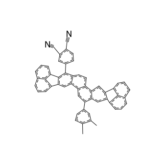 Cc1ccc(-c2cc3c4cc5c(c(-c6ccc(C#N)c(C#N)c6)c4ccc3c3cc4c(cc23)-c2cccc3cccc-4c23)-c2cccc3cccc-5c23)cc1C